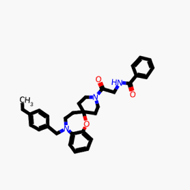 CCc1ccc(CN2CCC3(CCN(C(=O)CNC(=O)c4ccccc4)CC3)Oc3ccccc32)cc1